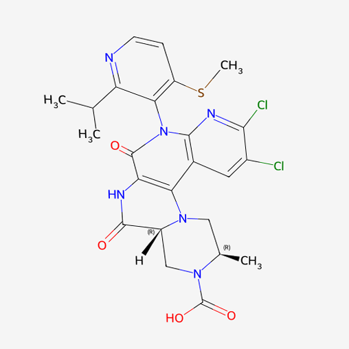 CSc1ccnc(C(C)C)c1-n1c(=O)c2c(c3cc(Cl)c(Cl)nc31)N1C[C@@H](C)N(C(=O)O)C[C@@H]1C(=O)N2